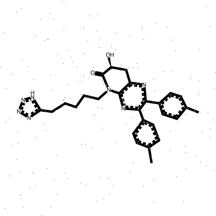 Cc1ccc(-c2nc3c(nc2-c2ccc(C)cc2)N(CCCCCc2nnn[nH]2)C(=O)[C@@H](O)C3)cc1